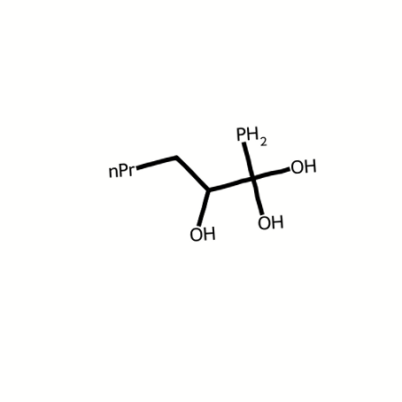 CCCCC(O)C(O)(O)P